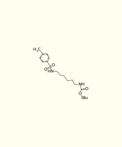 Cc1ccc(S(=O)(=O)NCCCCCCNC(=O)OC(C)(C)C)cc1